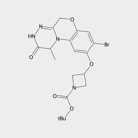 CC1C(=O)NN=C2COc3cc(Br)c(OC4CN(C(=O)OC(C)(C)C)C4)cc3N21